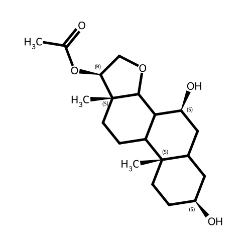 CC(=O)O[C@H]1COC2C3C(CC[C@@]21C)[C@@]1(C)CC[C@H](O)CC1C[C@@H]3O